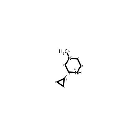 CN1CCN[C@H](C2CC2)C1